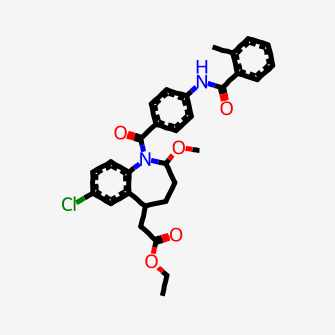 CCOC(=O)CC1CCC(OC)N(C(=O)c2ccc(NC(=O)c3ccccc3C)cc2)c2ccc(Cl)cc21